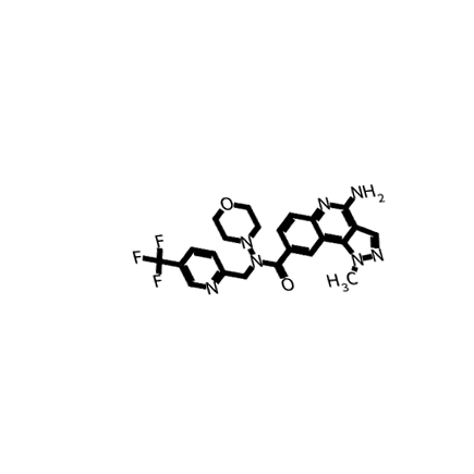 Cn1ncc2c(N)nc3ccc(C(=O)N(Cc4ccc(C(F)(F)F)cn4)N4CCOCC4)cc3c21